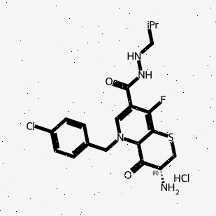 CC(C)CNNC(=O)C1=CN(Cc2ccc(Cl)cc2)C2C(=O)[C@@H](N)CSC2=C1F.Cl